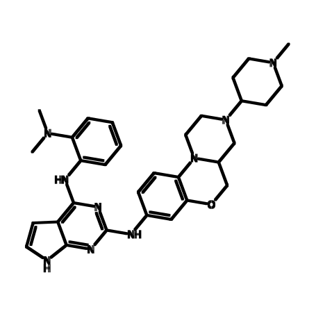 CN1CCC(N2CCN3c4ccc(Nc5nc(Nc6ccccc6N(C)C)c6cc[nH]c6n5)cc4OCC3C2)CC1